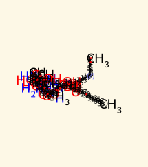 CCCCCCCC/C=C\CCCCCCCC(=O)O[C@H](COC(=O)CCCCCCCCCCCCCCC)COP(=O)(O)OCCNC(=O)CCC(=O)N[C@@H](C)C(=O)OC(=O)CC[C@@H](NC(=O)[C@@H](NCC(C)O[C@H]1[C@H](O)[C@@H](CO)O[C@H](O)[C@@H]1NC(C)=O)[C@@H](C)O)C(N)=O